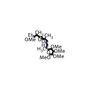 CC[C@H](OC)[C@@H](C)[C@H]1C[C@@](O)([C@@H](C)/C=C/C=C(\C)[C@H]2O[C@H](OC)[C@H](OC)[C@@H](OC)[C@@H]2OC)O1